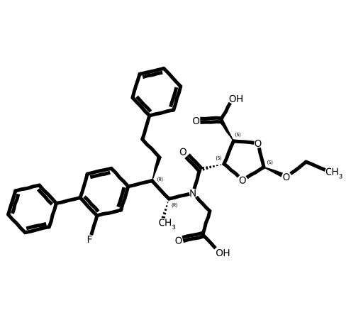 CCO[C@@H]1O[C@H](C(=O)O)[C@@H](C(=O)N(CC(=O)O)[C@H](C)[C@H](CCc2ccccc2)c2ccc(-c3ccccc3)c(F)c2)O1